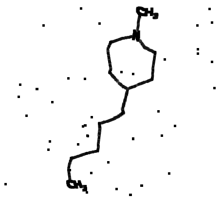 CCCCCC1CCN(C)CC1